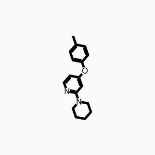 Cc1ccc(Oc2ccnc(N3CCCCC3)c2)cc1